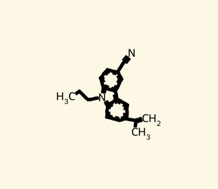 C=C(C)c1ccc2c(c1)c1cc(C#N)ccc1n2CCC